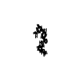 CNc1nc(C)nc(N[C@H]2CC[C@H](C(=O)NCc3ccccc3OC(F)(F)F)CC2)n1